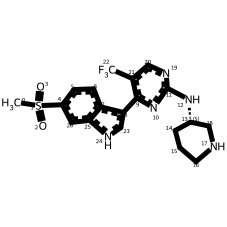 CS(=O)(=O)c1ccc2c(-c3nc(N[C@H]4CCCNC4)ncc3C(F)(F)F)c[nH]c2c1